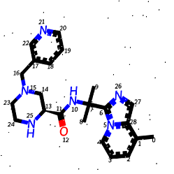 Cc1cccn2c(C(C)(C)NC(=O)[C@@H]3CN(Cc4cccnc4)CCN3)ncc12